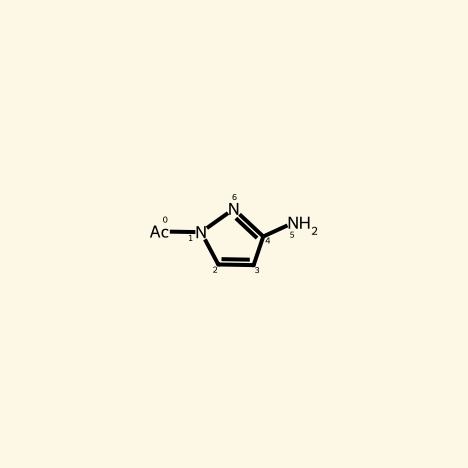 CC(=O)n1ccc(N)n1